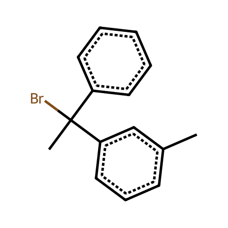 Cc1cccc(C(C)(Br)c2ccccc2)c1